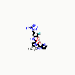 N=C(N)NCCC[C@H](NC(=O)[C@@H]1CCCN1C(=O)[C@H](NC(=O)O)c1cccnc1)C(=O)CF